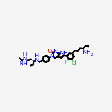 C=C[C@@H](N)CCCc1cc(Cl)c(F)c(-c2cc3cn(-c4ccc(CN[C@H](C=C)CCNC(C)=N)cc4)c(=O)nc3[nH]2)c1